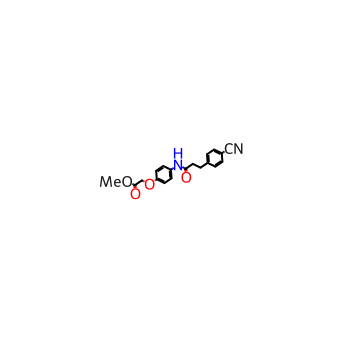 COC(=O)COc1ccc(NC(=O)CCc2ccc(C#N)cc2)cc1